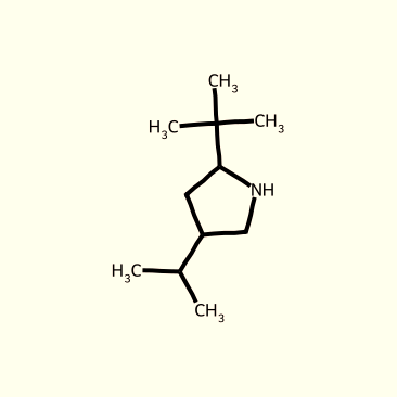 CC(C)C1CNC(C(C)(C)C)C1